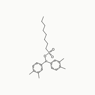 CCCCCCCCS(=O)(=O)O[I+](c1ccc(C)c(C)c1)c1ccc(C)c(C)c1